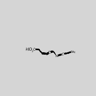 N=C=C=NC=C=C=CCC(=O)O